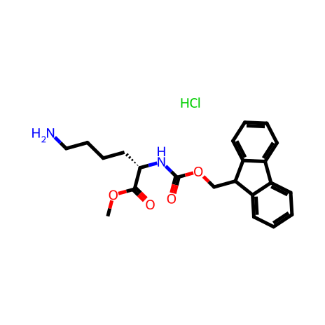 COC(=O)[C@H](CCCCN)NC(=O)OCC1c2ccccc2-c2ccccc21.Cl